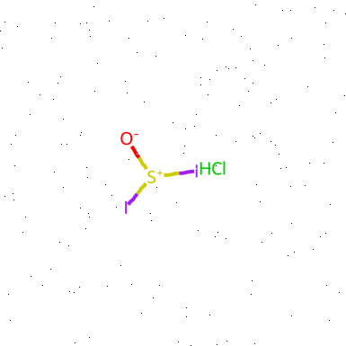 Cl.[O-][S+](I)I